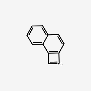 C1=[As]c2ccc3ccccc3c21